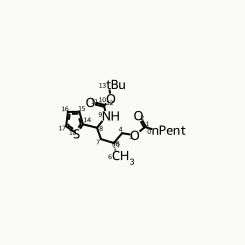 CCCCCC(=O)OC[C@H](C)CC(NC(=O)OC(C)(C)C)c1cccs1